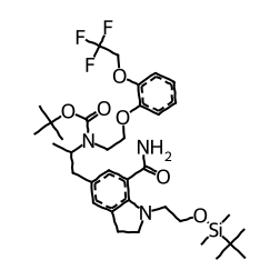 CC(Cc1cc2c(c(C(N)=O)c1)N(CCO[Si](C)(C)C(C)(C)C)CC2)N(CCOc1ccccc1OCC(F)(F)F)C(=O)OC(C)(C)C